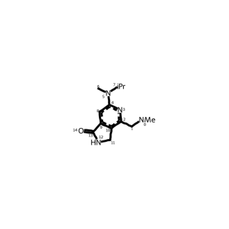 CNCc1nc(N(C)C(C)C)cc2c1CNC2=O